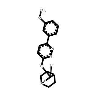 COc1cccc(-c2ccc(O[C@H]3CN4CCC3CC4)nn2)c1